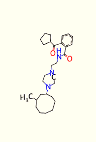 CC1CCCCCCC(N2CCN(CCNC(=O)c3ccccc3C(=O)C3CCCC3)CC2)C1